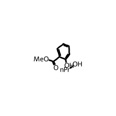 CCCO.COC(=O)c1ccccc1O